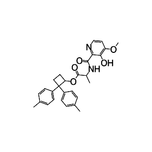 COc1ccnc(C(=O)NC(C)C(=O)OC2CCC2(c2ccc(C)cc2)c2ccc(C)cc2)c1O